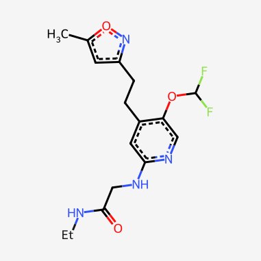 CCNC(=O)CNc1cc(CCc2cc(C)on2)c(OC(F)F)cn1